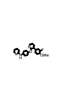 COc1ccc(-c2cccnc2Oc2ccc(Nc3ccccn3)cc2)cc1F